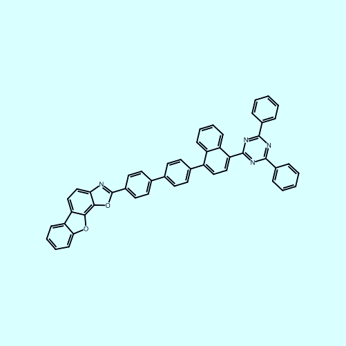 c1ccc(-c2nc(-c3ccccc3)nc(-c3ccc(-c4ccc(-c5ccc(-c6nc7ccc8c9ccccc9oc8c7o6)cc5)cc4)c4ccccc34)n2)cc1